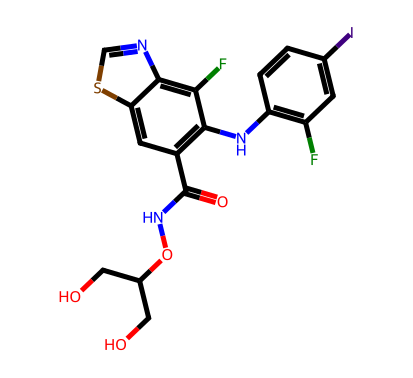 O=C(NOC(CO)CO)c1cc2scnc2c(F)c1Nc1ccc(I)cc1F